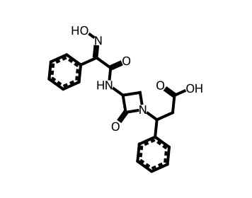 O=C(O)CC(c1ccccc1)N1CC(NC(=O)/C(=N/O)c2ccccc2)C1=O